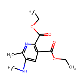 CCOC(=O)c1cc(NC)c(C)nc1C(=O)OCC